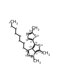 CCCCCCCCc1nn(C)c2c(C)sc(-c3cnc(C)s3)c12